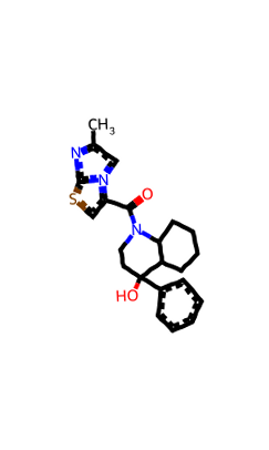 Cc1cn2c(C(=O)N3CCC(O)(c4ccccc4)C4CCCCC43)csc2n1